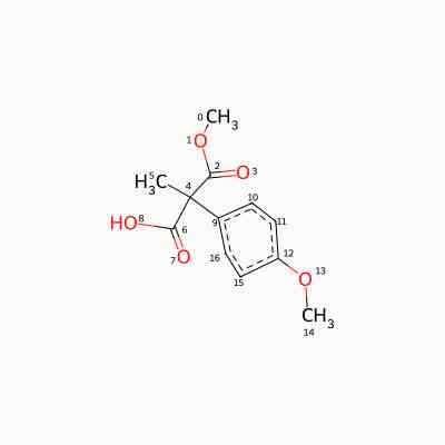 COC(=O)C(C)(C(=O)O)c1ccc(OC)cc1